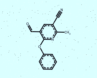 Cc1nc(Oc2ccccc2)c(C=O)cc1C#N